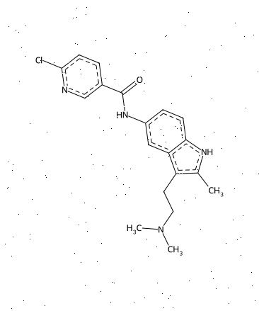 Cc1[nH]c2ccc(NC(=O)c3ccc(Cl)nc3)cc2c1CCN(C)C